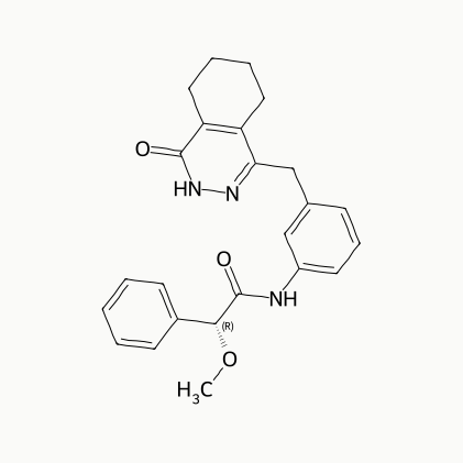 CO[C@@H](C(=O)Nc1cccc(Cc2n[nH]c(=O)c3c2CCCC3)c1)c1ccccc1